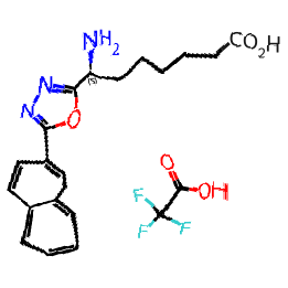 N[C@@H](CCCCCC(=O)O)c1nnc(-c2ccc3ccccc3c2)o1.O=C(O)C(F)(F)F